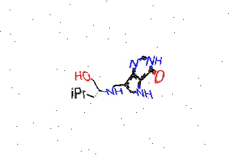 CC(C)C[C@H](CO)NCc1c[nH]c2c(=O)[nH]cnc12